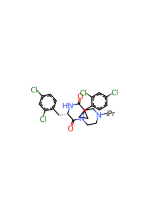 CC(C)N1CCN(C(=O)[C@H](Cc2ccc(Cl)cc2Cl)NC(=O)C2(c3ccc(Cl)cc3Cl)CC2)CC1